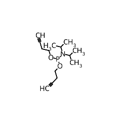 C#CCCOP(OCCC#C)N(C(C)C)C(C)C